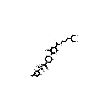 CCC(CC)CCCOC(=O)c1cnc(N2CCN(C(=O)NS(=O)(=O)c3ccc(Cl)s3)CC2)c(Cl)c1